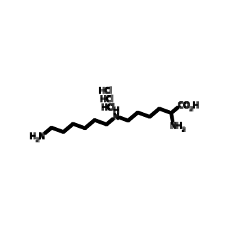 Cl.Cl.Cl.NCCCCCCNCCCCC(N)C(=O)O